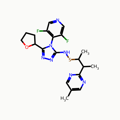 Cc1cnc(C(C)C(C)SNc2nnc(C3CCCO3)n2-c2c(F)cncc2F)nc1